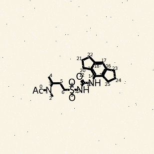 CC(=O)N(C)C(C)CCS(=O)(=O)NC(=O)Nc1c2c(cc3c1CCC3)CCC2